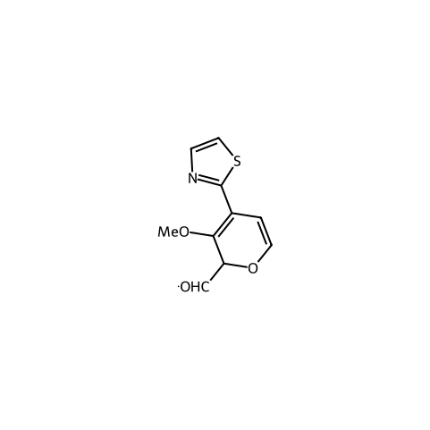 COC1=C(c2nccs2)C=COC1[C]=O